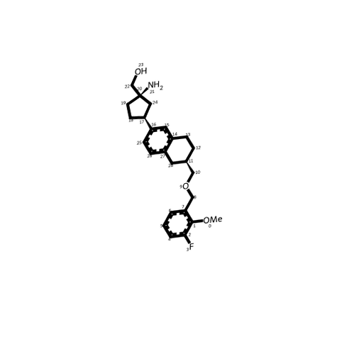 COc1c(F)cccc1COC[C@@H]1CCc2cc([C@H]3CC[C@](N)(CO)C3)ccc2C1